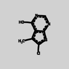 Cc1c(Cl)sc2ncnc(O)c12